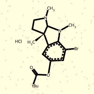 CN1CC[C@@]2(C)c3cc(OC(=O)C(C)(C)C)cc(Br)c3N(C)C12.Cl